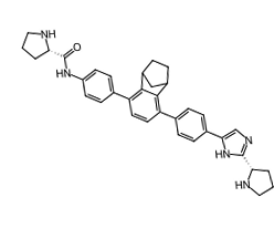 O=C(Nc1ccc(-c2ccc(-c3ccc(-c4cnc([C@@H]5CCCN5)[nH]4)cc3)c3c2C2CCC3C2)cc1)[C@@H]1CCCN1